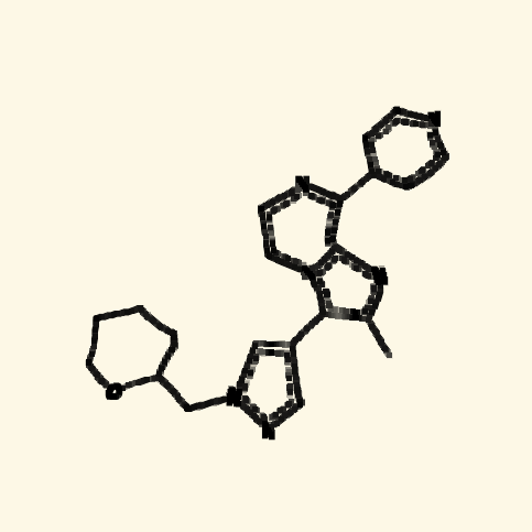 Cc1nc2c(-c3ccncc3)nccn2c1-c1cnn(CC2CCCCO2)c1